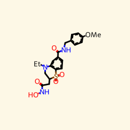 CCN1CC(CC(=O)NO)S(=O)(=O)c2ccc(C(=O)NCc3ccc(OC)cc3)cc21